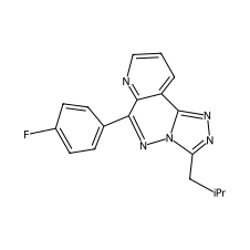 CC(C)Cc1nnc2c3cccnc3c(-c3ccc(F)cc3)nn12